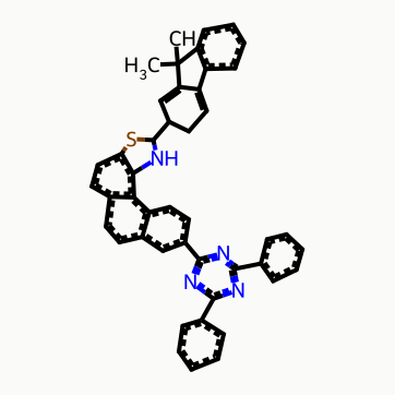 CC1(C)C2=CC(C3Nc4c(ccc5ccc6cc(-c7nc(-c8ccccc8)nc(-c8ccccc8)n7)ccc6c45)S3)CC=C2c2ccccc21